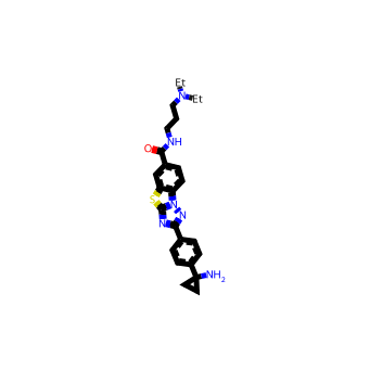 CCN(CC)CCCNC(=O)c1ccc2c(c1)sc1nc(-c3ccc(C4(N)CC4)cc3)nn12